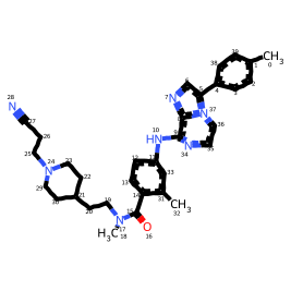 Cc1ccc(-c2cnc3c(Nc4ccc(C(=O)N(C)CCC5CCN(CCC#N)CC5)c(C)c4)nccn23)cc1